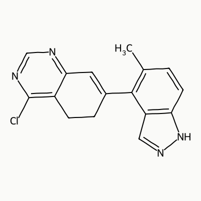 Cc1ccc2[nH]ncc2c1C1=Cc2ncnc(Cl)c2CC1